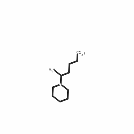 NC(CCCC(=O)O)N1CCCCC1